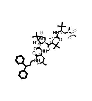 CN(C[C@@H](NC(=O)N[C@H](C(=O)N1C[C@H]2[C@@H]([C@H]1C(=O)N[C@@H](CC(F)F)C(=O)NCCC(c1ccccc1)c1ccccc1)C2(C)C)C(C)(C)C)C(C)(C)C)S(C)(=O)=O